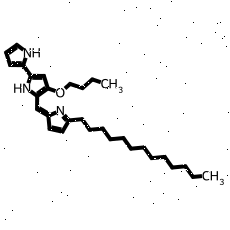 CCCCCCCCCCCCCC1=NC(=Cc2[nH]c(-c3ccc[nH]3)cc2OCCCC)C=C1